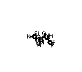 N#Cc1cc(Cl)cc(Oc2c(C(F)(F)F)ncn(Cc3cc(-c4ccc(F)c(F)c4)n[nH]c3=O)c2=O)c1